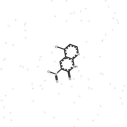 O=c1[nH]c2nccc(Cl)c2cc1[N+](=O)[O-]